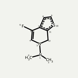 CN(C)N1C=C(F)c2ccsc2C1